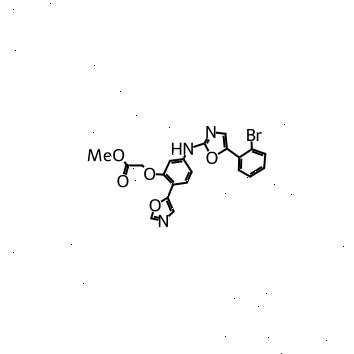 COC(=O)COc1cc(Nc2ncc(-c3ccccc3Br)o2)ccc1-c1cnco1